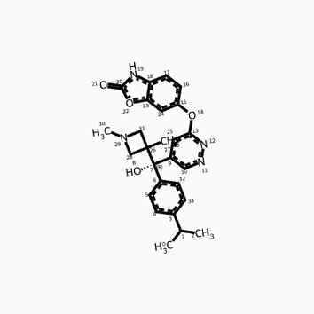 CC(C)c1ccc([C@](O)(c2cnnc(Oc3ccc4[nH]c(=O)oc4c3)c2)C2(C)CN(C)C2)cc1